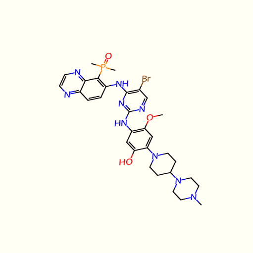 COc1cc(N2CCC(N3CCN(C)CC3)CC2)c(O)cc1Nc1ncc(Br)c(Nc2ccc3nccnc3c2P(C)(C)=O)n1